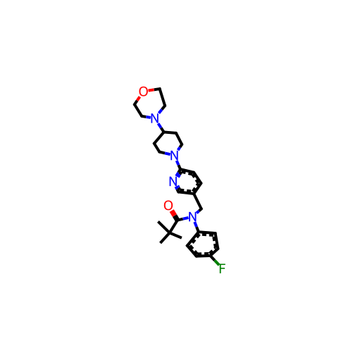 CC(C)(C)C(=O)N(Cc1ccc(N2CCC(N3CCOCC3)CC2)nc1)c1ccc(F)cc1